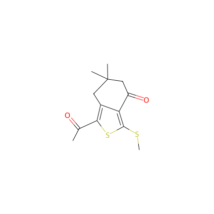 CSc1sc(C(C)=O)c2c1C(=O)CC(C)(C)C2